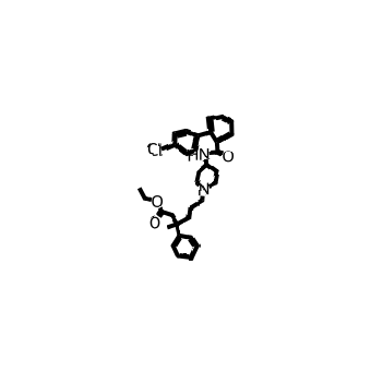 CCOC(=O)CC(C)(CCCN1CCC(NC(=O)c2ccccc2-c2ccc(Cl)cc2)CC1)c1ccccc1